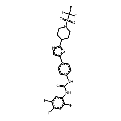 O=C(Nc1ccc(-c2cnc(C3CCN(S(=O)(=O)C(F)(F)F)CC3)s2)cc1)Nc1cc(F)c(F)cc1F